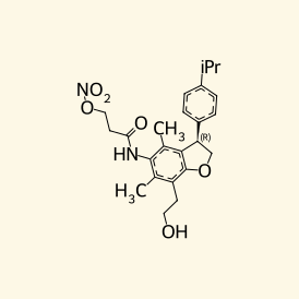 Cc1c(CCO)c2c(c(C)c1NC(=O)CCO[N+](=O)[O-])[C@@H](c1ccc(C(C)C)cc1)CO2